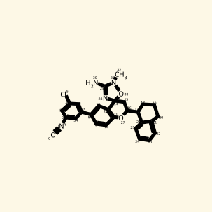 [C-]#[N+]c1cc(Cl)cc(-c2ccc3c(c2)C2(CC(C4CCCc5ccccc54)O3)N=C(N)N(C)O2)c1